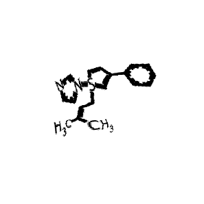 CC(C)=CCS1(n2ccnc2)C=CC(c2ccccc2)=C1